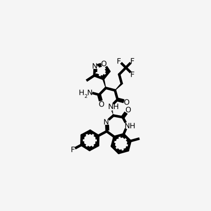 Cc1cccc2c1NC(=O)[C@@H](NC(=O)[C@H](CCC(F)(F)F)[C@@H](C(N)=O)c1conc1C)N=C2c1ccc(F)cc1